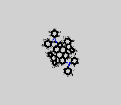 c1ccc(N(c2ccccc2)c2ccc3c4c5c(ccc24)C2(c4ccccc4-c4ccccc42)c2ccc(N(c4ccccc4)c4ccccc4)c4ccc(c-5c24)C32c3ccccc3-c3ccccc32)cc1